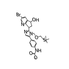 COC(=O)Nc1ccc(-c2cnc(C3CC(O)c4cc(Br)cnc43)n2COCC[Si](C)(C)C)cc1